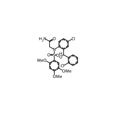 COc1cc(OC)c(S(=O)(=O)N(CC(N)=O)c2ccc(Cl)cc2C(O)c2ccccc2Cl)cc1OC